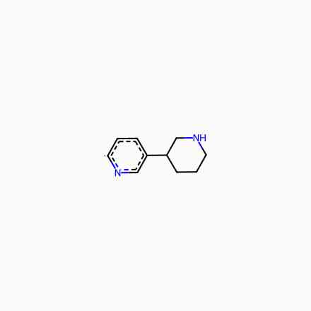 [c]1ccc(C2CCCNC2)cn1